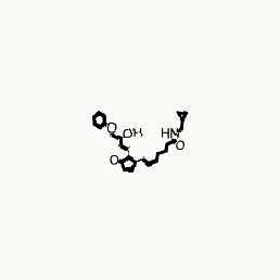 O=C(CCC/C=C\C[C@H]1C=CC(=O)[C@@H]1/C=C/[C@@H](O)COc1ccccc1)NCC1CC1